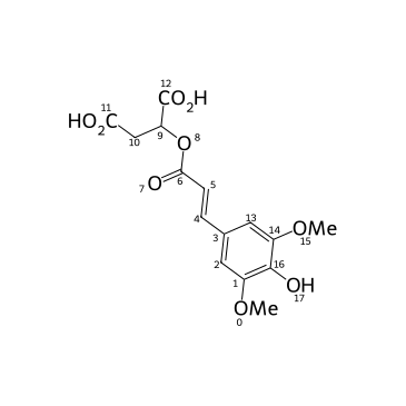 COc1cc(/C=C/C(=O)OC(CC(=O)O)C(=O)O)cc(OC)c1O